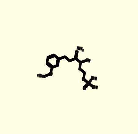 CCCCCCCCCCOc1cccc(CCC(=O)N(CCOP(=O)(O)O)C(C)C)c1.N